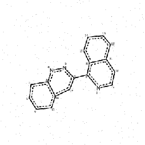 c1ccc2nnc(-c3nccc4ccccc34)cc2c1